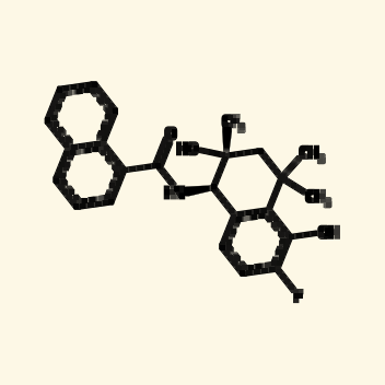 CC1(C)C[C@](O)(C(F)(F)F)[C@H](NC(=O)c2cccc3ccccc23)c2ccc(F)c(O)c21